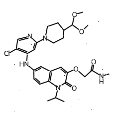 CNC(=O)COc1cc2cc(Nc3cc(N4CCC(C(OC)OC)CC4)ncc3Cl)ccc2n(C(C)C)c1=O